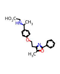 Cc1oc(-c2ccccc2)nc1CCOc1ccc(C(C)NCC(=O)O)cc1